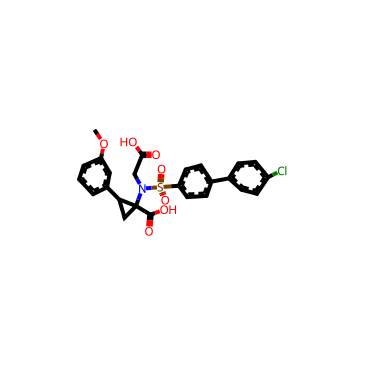 COc1cccc(C2CC2(C(=O)O)N(CC(=O)O)S(=O)(=O)c2ccc(-c3ccc(Cl)cc3)cc2)c1